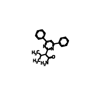 CC(C)C(C(N)=O)c1nc(-c2ccccc2)cc(-c2ccccc2)n1